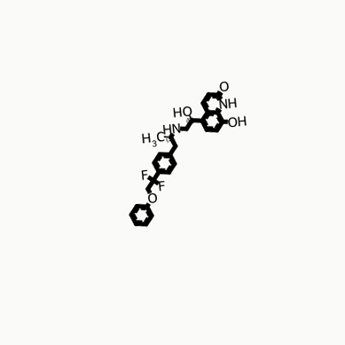 C[C@@H](Cc1ccc(C(F)(F)COc2ccccc2)cc1)NC[C@H](O)c1ccc(O)c2[nH]c(=O)ccc12